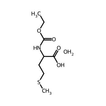 CCOC(=O)NC(CCSC)C(=O)O.O